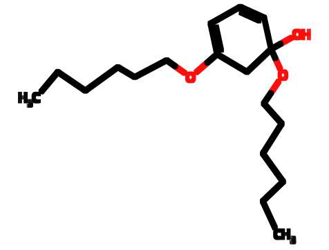 CCCCCCOC1=CC=CC(O)(OCCCCCC)C1